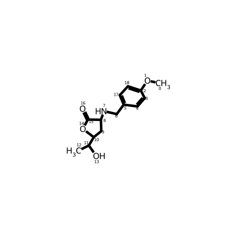 COc1ccc(CNC2CC(C(C)O)OC2=O)cc1